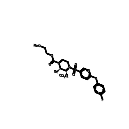 CCOC(=O)[C@@H]1[C@H](CC)N(C(=O)OCCOC)CCN1S(=O)(=O)c1ccc(Oc2ccc(F)cc2)nc1